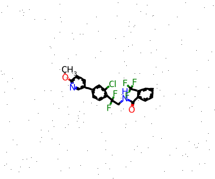 COc1ccc(-c2ccc(C(F)(F)CNC(=O)c3ccccc3C(F)(F)F)c(Cl)c2)cn1